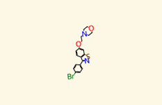 Brc1ccc(-c2nsc3cc(OCCN4CCOCC4)ccc23)cc1